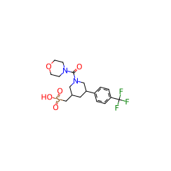 O=C(N1CCOCC1)N1CC(CS(=O)(=O)O)CC(c2ccc(C(F)(F)F)cc2)C1